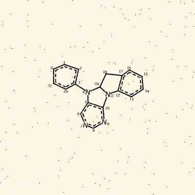 c1ccc(N2c3cncnc3N3c4ccccc4CC23)cc1